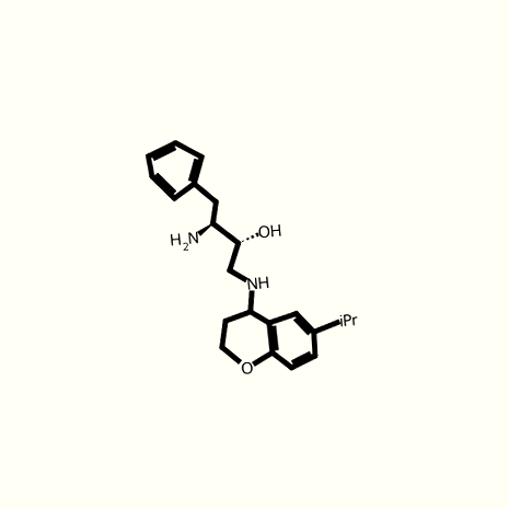 CC(C)c1ccc2c(c1)C(NC[C@@H](O)[C@@H](N)Cc1ccccc1)CCO2